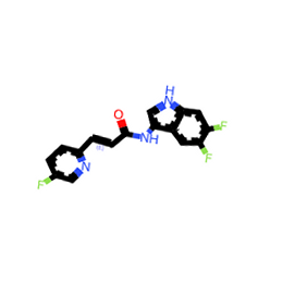 O=C(/C=C/c1ccc(F)cn1)Nc1c[nH]c2cc(F)c(F)cc12